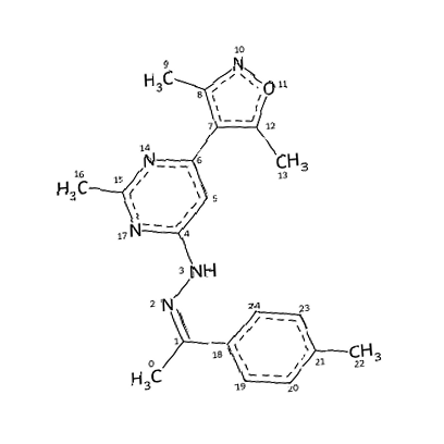 CC(=NNc1cc(-c2c(C)noc2C)nc(C)n1)c1ccc(C)cc1